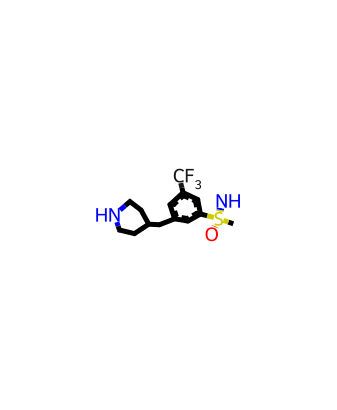 CS(=N)(=O)c1cc(CC2CCNCC2)cc(C(F)(F)F)c1